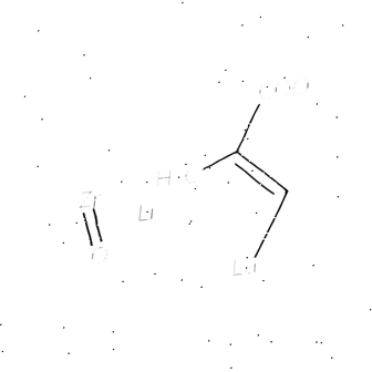 CC(=[CH][La])C(=O)[O-].[Li+].[O]=[Zr]